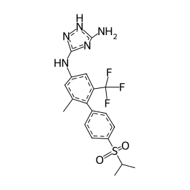 Cc1cc(Nc2n[nH]c(N)n2)cc(C(F)(F)F)c1-c1ccc(S(=O)(=O)C(C)C)cc1